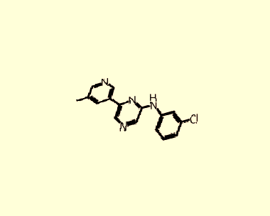 Cc1cncc(-c2cncc(Nc3cccc(Cl)c3)n2)c1